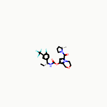 CC[C@@H](NC(=O)Oc1cc(C(=O)N2CCC[C@@H]2C)n2c1COCC2)c1ccc(F)c(C(F)(F)F)c1